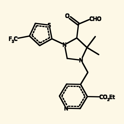 CCOC(=O)c1cnccc1CN1CN(c2cc(C(F)(F)F)cs2)C(C(=O)C=O)C1(C)C